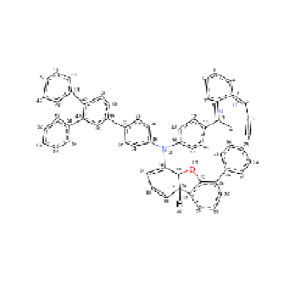 C#C/C=c1/cccc/c1=C(/C)c1ccc(N(C2=CC=C[C@H]3c4cccc(-c5ccccc5)c4OC23)c2ccc(-c3ccc(-c4ccccc4)c(-c4ccccc4)c3)cc2)cc1